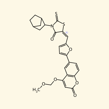 COCOc1cc(=O)oc2ccc(-c3ccc(/C=C4/SC(=S)N(C5CC6CCC5C6)C4=O)o3)cc12